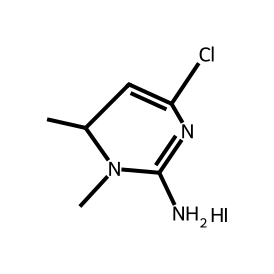 CC1C=C(Cl)N=C(N)N1C.I